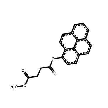 COC(=O)CCC(=O)Oc1ccc2ccc3cccc4ccc1c2c34